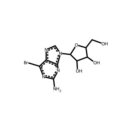 Nc1nc(Br)c2ncn(C3OC(CO)C(O)C3O)c2n1